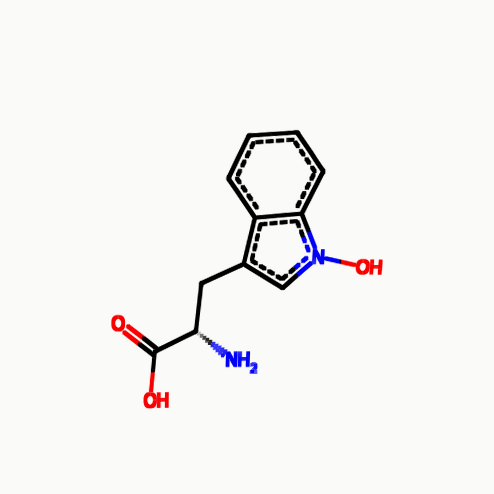 N[C@@H](Cc1cn(O)c2ccccc12)C(=O)O